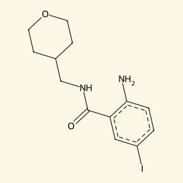 Nc1ccc(I)cc1C(=O)NCC1CCOCC1